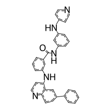 O=C(Nc1cccc(Nc2ccncc2)c1)c1cccc(Nc2ccnc3ccc(-c4ccccc4)cc23)c1